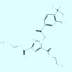 CCOC(=O)c1cc(C(=O)OCC)n(CC(=O)c2ccc(C(F)(F)F)c(C)c2)n1